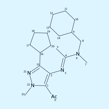 CC(=O)c1c(/N=C(\C)N(C)CC2CCCCC2)c(C2CCCC2)nn1C